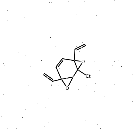 C=CC12C=CC3(C=C)OC3(CC)C1O2